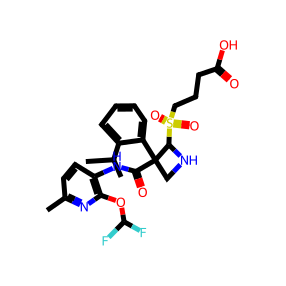 Cc1ccc(NC(=O)C2(c3ccccc3C(C)C)CNC2S(=O)(=O)CCCC(=O)O)c(OC(F)F)n1